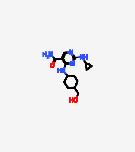 NC(=O)c1cnc(NC2CC2)nc1NC1CCC(CO)CC1